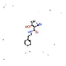 CC(O)=C(C#N)C(=O)NCCC1=CCCCC1